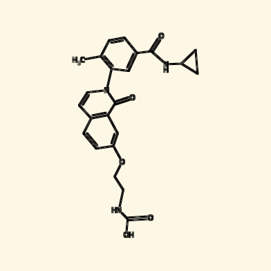 Cc1ccc(C(=O)NC2CC2)cc1-n1ccc2ccc(OCCNC(=O)O)cc2c1=O